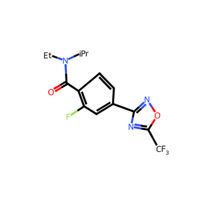 CCN(C(=O)c1ccc(-c2noc(C(F)(F)F)n2)cc1F)C(C)C